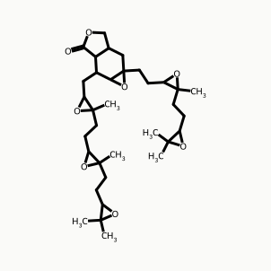 CC1(C)OC1CCC1(C)OC1CCC1(C)OC1CC1C2C(=O)OCC2CC2(CCC3OC3(C)CCC3OC3(C)C)OC12